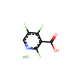 Cl.O=C(O)c1c(F)ncc(F)c1F